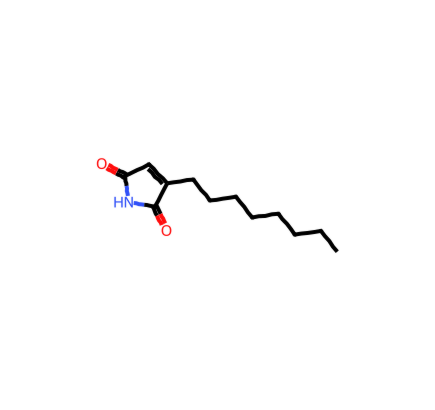 CCCCCCCCC1=CC(=O)NC1=O